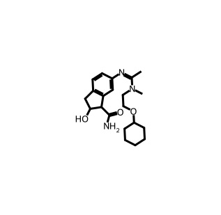 CC(=Nc1ccc2c(c1)C(C(N)=O)C(O)C2)N(C)CCOC1CCCCC1